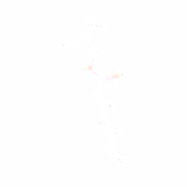 CCCCCCC(CCCC)COC(=O)CCCCCN=O